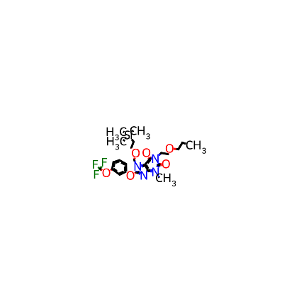 CCCOCCn1c(=O)c2c(nc(Oc3cccc(OC(F)(F)F)c3)n2COCC[Si](C)(C)C)n(C)c1=O